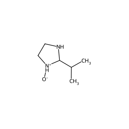 CC(C)C1NCC[NH+]1[O-]